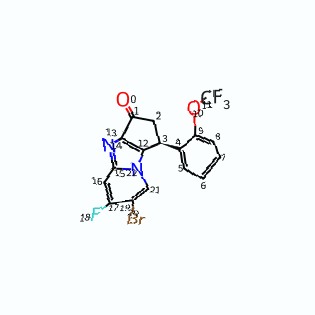 O=C1C[C@@H](c2ccccc2OC(F)(F)F)c2c1nc1cc(F)c(Br)cn21